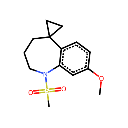 COc1ccc2c(c1)N(S(C)(=O)=O)CCCC21CC1